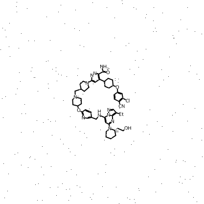 CCc1cnn2c(NCc3ccc(OC4CCN(CC5CCN(c6cc(C7CCC(Oc8ccc(C#N)c(Cl)c8)CC7)c(C(N)=O)nn6)CC5)CC4)nc3)cc(N3CCCC[C@H]3CCO)nc12